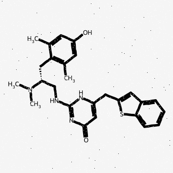 Cc1cc(O)cc(C)c1C[C@H](CNc1nc(=O)cc(Cc2cc3ccccc3s2)[nH]1)N(C)C